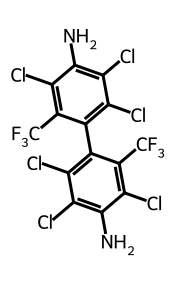 Nc1c(Cl)c(Cl)c(-c2c(Cl)c(Cl)c(N)c(Cl)c2C(F)(F)F)c(C(F)(F)F)c1Cl